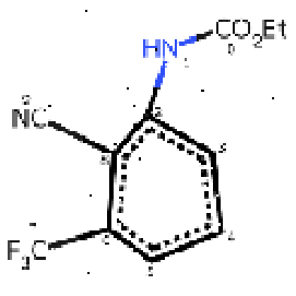 CCOC(=O)Nc1cccc(C(F)(F)F)c1C#N